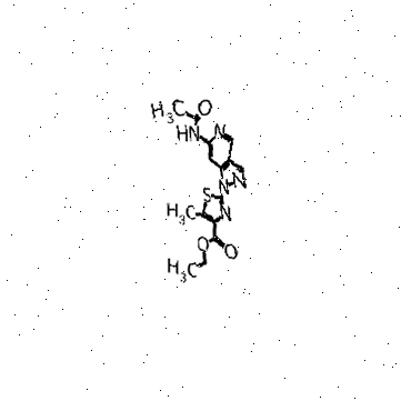 CCOC(=O)c1nc(-n2ncc3cnc(NC(C)=O)cc32)sc1C